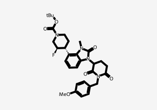 COc1ccc(CN2C(=O)CCC(n3c(=O)n(C)c4c([C@H]5CCN(C(=O)OC(C)(C)C)C[C@@H]5F)cccc43)C2=O)cc1